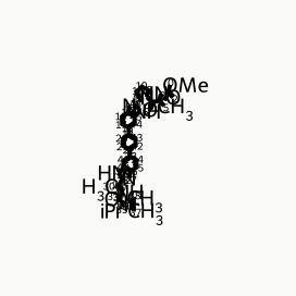 COC(=O)NC(C)C(=O)N1CCC[C@H]1c1nc2ccc(-c3ccc(-c4ccc5nc([C@H](C)NC(=O)[C@@H](C(C)C)N(C)C)[nH]c5c4)cc3)cc2[nH]1